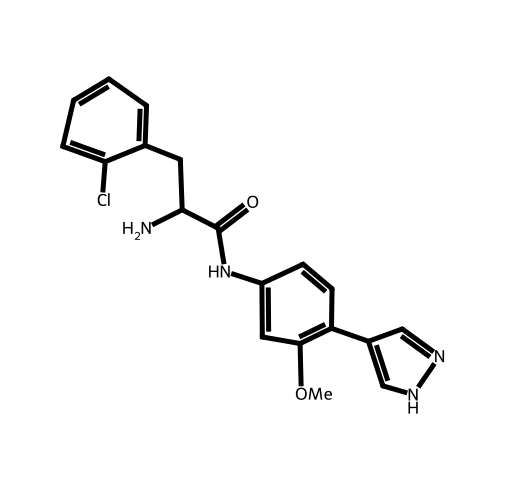 COc1cc(NC(=O)C(N)Cc2ccccc2Cl)ccc1-c1cn[nH]c1